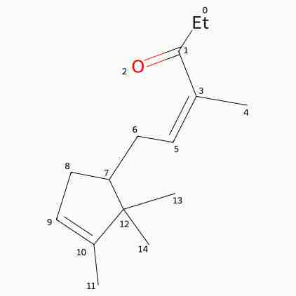 CCC(=O)C(C)=CCC1CC=C(C)C1(C)C